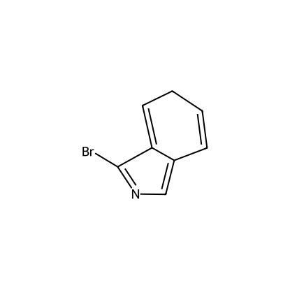 BrC1=NC=C2C=CCC=C21